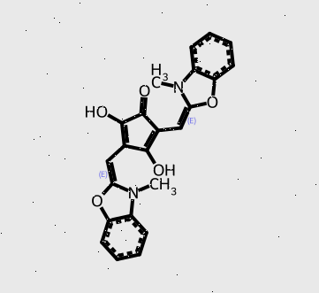 CN1/C(=C\C2=C(O)C(/C=C3/Oc4ccccc4N3C)=C(O)C2=O)Oc2ccccc21